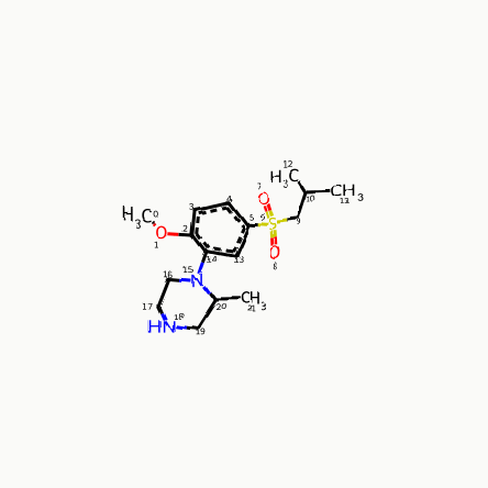 COc1ccc(S(=O)(=O)CC(C)C)cc1N1CCNCC1C